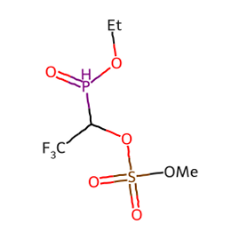 CCO[PH](=O)C(OS(=O)(=O)OC)C(F)(F)F